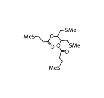 CSCCC(=O)OC(CSC)C(CSC)OC(=O)CCSC